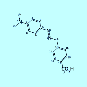 CN(C)c1ccc(N=NCc2ccc(C(=O)O)cc2)cc1